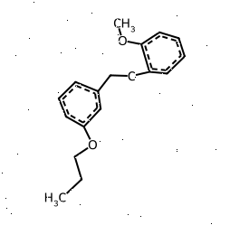 CCCOc1cccc(CCc2ccccc2OC)c1